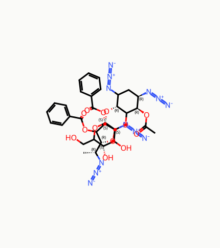 CC(=O)O[C@H]1C(O[C@@H]2O[C@H]([C@@H](C)N=[N+]=[N-])C(OC(=O)c3ccccc3)[C@@H]2OC(=O)c2ccccc2)[C@H](O[C@H]2OC(CO)[C@@H](O)C(O)C2N=[N+]=[N-])C(N=[N+]=[N-])C[C@H]1N=[N+]=[N-]